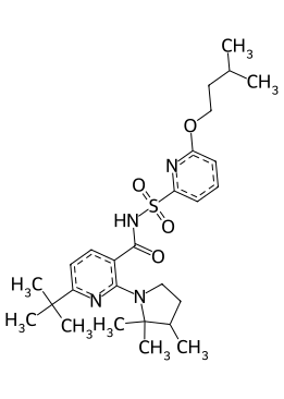 CC(C)CCOc1cccc(S(=O)(=O)NC(=O)c2ccc(C(C)(C)C)nc2N2CCC(C)C2(C)C)n1